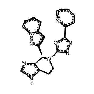 c1ccc(-c2nnc(N3CCc4[nH]cnc4[C@H]3c3cc4ccccn4n3)o2)nc1